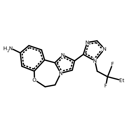 CCC(F)(F)Cn1ncnc1-c1cn2c(n1)-c1ccc(N)cc1OCC2